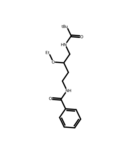 CCOC(CCNC(=O)c1ccccc1)CNC(=O)C(C)(C)C